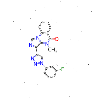 Cn1c(=O)c2ccccc2n2cnc(-c3cn(-c4cccc(F)c4)nn3)c12